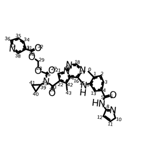 Cc1ccc(C(=O)NC2=NCC=C2)cc1Nc1ncnn2cc(C(=O)N(C(=O)OCOC(=O)c3cccnc3)C3CC3)c(C)c12